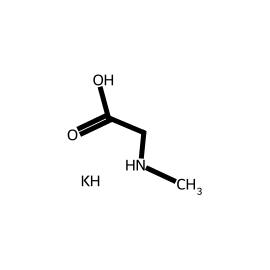 CNCC(=O)O.[KH]